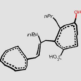 CCCCC(=Cc1ccccc1)c1c(C(=O)O)ccc(O)c1CCC